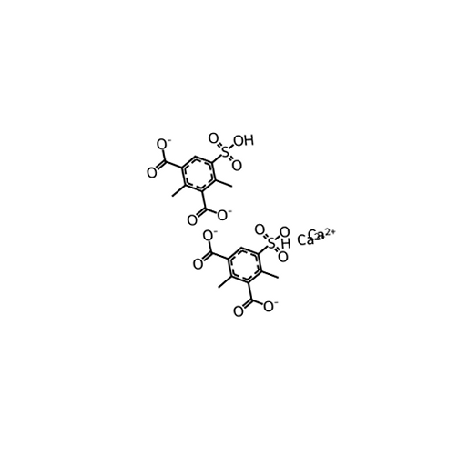 Cc1c(C(=O)[O-])cc(S(=O)(=O)O)c(C)c1C(=O)[O-].Cc1c(C(=O)[O-])cc(S(=O)(=O)O)c(C)c1C(=O)[O-].[Ca+2].[Ca+2]